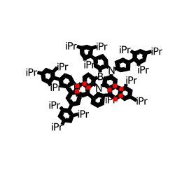 CC(C)c1cc(C(C)C)c(-c2ccc(N3c4ccc(-c5c(C(C)C)cc(C(C)C)cc5C(C)C)cc4B4c5ccc(-n6c7ccc(-c8c(C(C)C)cc(C(C)C)cc8C(C)C)cc7c7cc(-c8c(C(C)C)cc(C(C)C)cc8C(C)C)ccc76)cc5N(c5c(-c6ccccc6)cccc5-c5ccccc5)c5cc(-c6c(C(C)C)cc(C(C)C)cc6C(C)C)cc3c54)cc2)c(C(C)C)c1